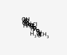 CS(C)(=O)=Nc1ccc(-c2ccc(-c3nc4[nH]c(O[C@@H]5CO[C@H]6[C@@H]5OC[C@H]6O)nc4cc3Cl)c(F)c2F)cc1